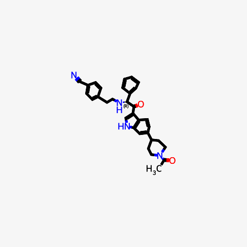 CC(=O)N1CCC(c2ccc3c(C(=O)[C@H](NCCc4ccc(C#N)cc4)c4ccccc4)c[nH]c3c2)CC1